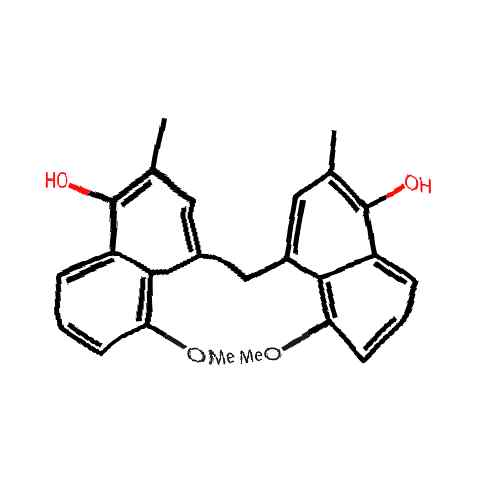 COc1cccc2c(O)c(C)cc(Cc3cc(C)c(O)c4cccc(OC)c34)c12